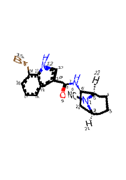 N#CN1[C@H]2CC[C@@H]1[C@H](NC(=O)c1c[nH]c3c(Br)cccc13)C2